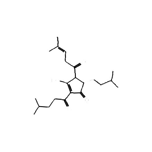 CC(C)=CCC(=O)C1C(O)=C(C(=O)CCC(C)C)C(=O)[C@H]1CCC(C)C